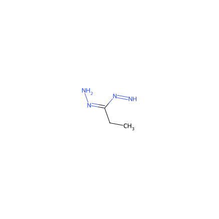 CC/C(N=N)=N/N